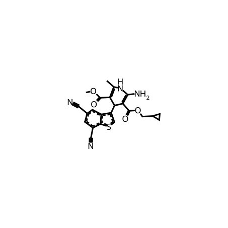 COC(=O)C1=C(C)NC(N)=C(C(=O)OCC2CC2)C1c1csc2c(C#N)cc(C#N)cc12